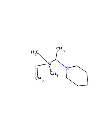 C=C[Si](C)(C)C(C)N1CCCCC1